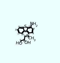 CN(CC(O)CO)c1ccc(N)c2sc3ccccc3c12